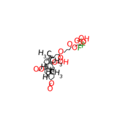 C[C@H](CCC(=O)OCCCC(=O)OCC(F)(F)S(=O)(=O)O)[C@H]1CC[C@H]2[C@@H]3C(OC=O)C[C@@H]4CC(OC=O)CCC4(C)[C@H]3CC(OCO)[C@]12C